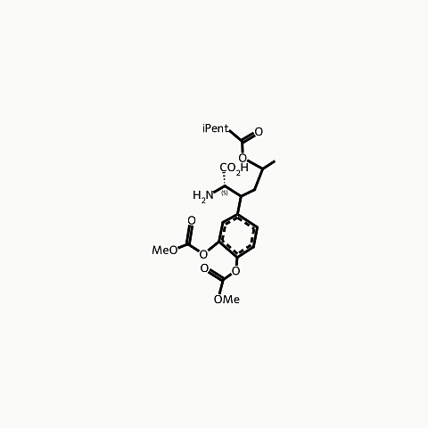 CCCC(C)C(=O)OC(C)CC(c1ccc(OC(=O)OC)c(OC(=O)OC)c1)[C@H](N)C(=O)O